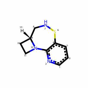 c1cnc2c(c1)SNC[C@H]1CCN21